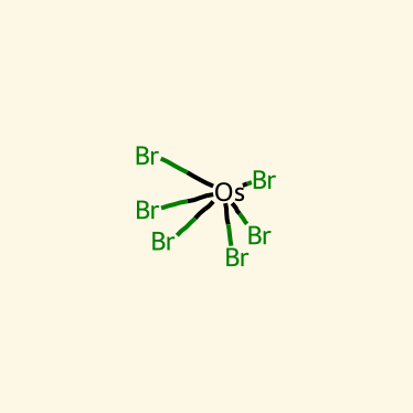 [Br][Os]([Br])([Br])([Br])([Br])[Br]